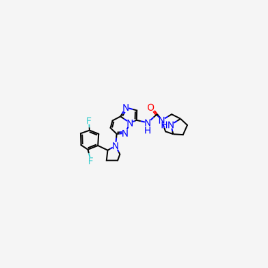 O=C(Nc1cnc2ccc(N3CCCC3c3cc(F)ccc3F)nn12)N1CC2CCC(C1)N2